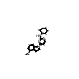 COc1cccc2c1ccn2-c1ccnc(NC2CCCCC2)n1